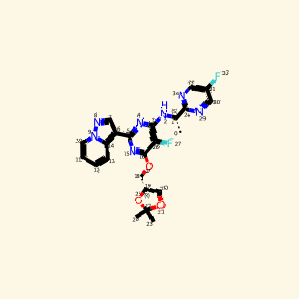 C[C@H](Nc1nc(-c2cnn3ccccc23)nc(OC[C@@H]2COC(C)(C)O2)c1F)c1ncc(F)cn1